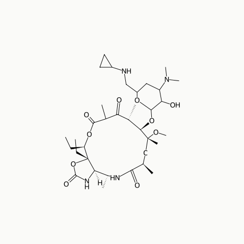 CC[C@H]1OC(=O)C(C)C(=O)[C@H](C)[C@@H](OC2OC(CNC3CC3)CC(N(C)C)C2O)[C@](C)(OC)C[C@@H](C)C(=O)N[C@H](C)[C@H]2NC(=O)O[C@@]21CC